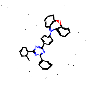 CC1CC=CC=C1c1nc(-c2ccccc2)nc(-c2ccc(N3C4=C(CCC=C4)Oc4ccccc43)cc2)n1